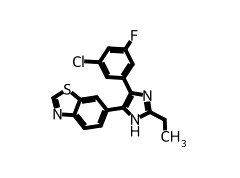 CCc1nc(-c2cc(F)cc(Cl)c2)c(-c2ccc3ncsc3c2)[nH]1